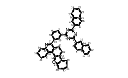 c1cc(-c2nc(-c3ccc4ccccc4c3)nc(-c3ccc4ccccc4c3)n2)cc(-c2nc3ccccc3c3c2ccc2c4ccccc4oc23)c1